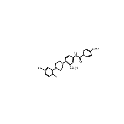 COc1ccc(C(=O)Nc2ccc(N3CCN(c4cc(Cl)ccc4C)CC3)c(C(=O)O)c2)cc1